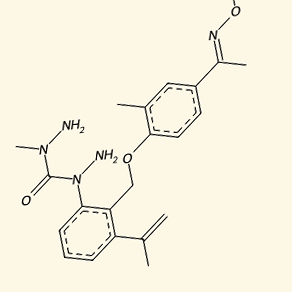 C=C(C)c1cccc(N(N)C(=O)N(C)N)c1COc1ccc(/C(C)=N/OC)cc1C